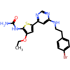 CCOc1cc(-c2cc(NCCc3ccc(Br)cc3)ncn2)sc1NC(N)=O